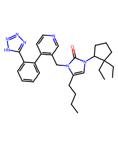 CCCCc1cn(C2CCCC2(CC)CC)c(=O)n1Cc1cnccc1-c1ccccc1-c1nnn[nH]1